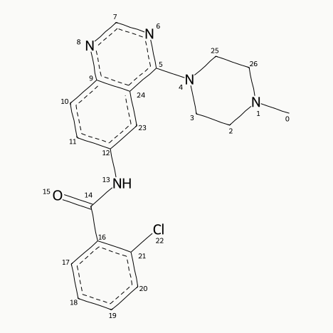 CN1CCN(c2ncnc3ccc(NC(=O)c4ccccc4Cl)cc23)CC1